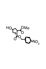 COC(=O)C1CC(O)CN1C(=O)OCc1ccc([N+](=O)[O-])cc1